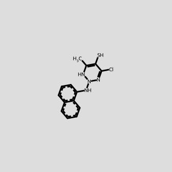 CC1=C(S)C(Cl)=NN(Nc2cccc3ccccc23)N1